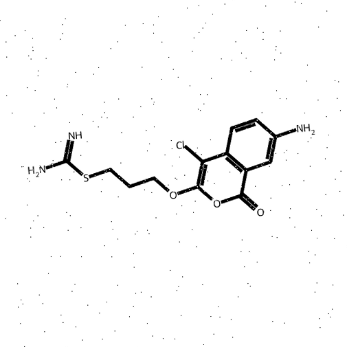 N=C(N)SCCCOc1oc(=O)c2cc(N)ccc2c1Cl